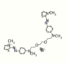 CN(CCOCCOCCN(C)c1ccc(/N=N/c2scc[n+]2C)cc1)c1ccc(/N=N/c2scc[n+]2C)cc1.[Br-].[Br-]